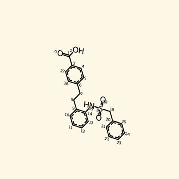 O=C(O)c1ccc(CCc2ccccc2NS(=O)(=O)Cc2ccccc2)cc1